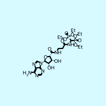 CCOP(=O)(OCC)C(NC(=O)CCNC(=O)[C@H]1O[C@@H](n2cnc3c(N)ncnc32)[C@@H](O)[C@H]1O)P(=O)(OCC)OCC